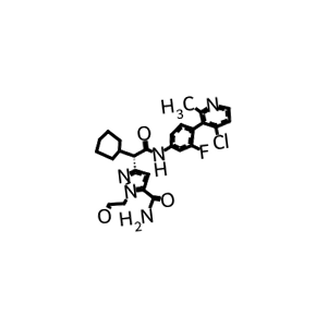 Cc1nccc(Cl)c1-c1ccc(NC(=O)[C@H](c2cc(C(N)=O)n(CC=O)n2)C2CCCCC2)cc1F